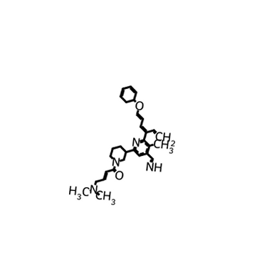 C=C/C(=C\C=C\OC1C=CC=CC1)c1nc(C2CCCN(C(=O)/C=C/CN(C)C)C2)cc(C=N)c1C